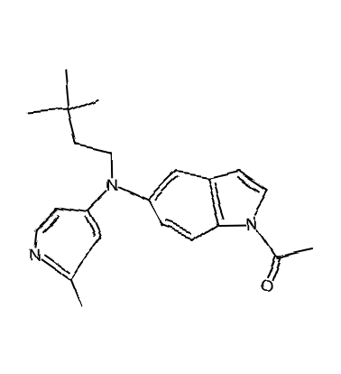 CC(=O)n1ccc2cc(N(CCC(C)(C)C)c3ccnc(C)c3)ccc21